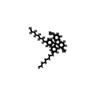 CCCCCCCCc1ccc(C2(c3ccc(CCCCCCCC)cc3)c3cc(Br)ccc3-c3ccc(Br)cc32)cc1